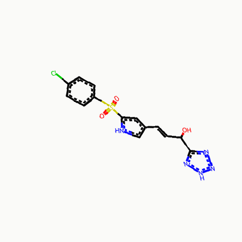 O=S(=O)(c1ccc(Cl)cc1)c1cc(C=CC(O)c2nn[nH]n2)c[nH]1